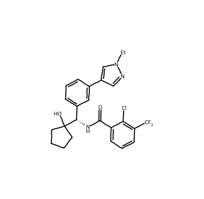 CCn1cc(-c2cccc([C@H](NC(=O)c3cccc(C(F)(F)F)c3Cl)C3(O)CCCC3)c2)cn1